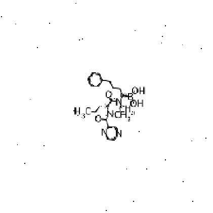 CCC[C@H](C(=O)N(C)[C@@H](CCCc1ccccc1)B(O)O)N(C)C(=O)c1cnccn1